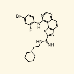 N=C(NCCN1CCCCC1)c1nc2ccc3ncnc(Nc4ccc(Br)cc4F)c3c2s1